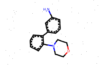 Nc1cccc(-c2ccccc2N2CCOCC2)c1